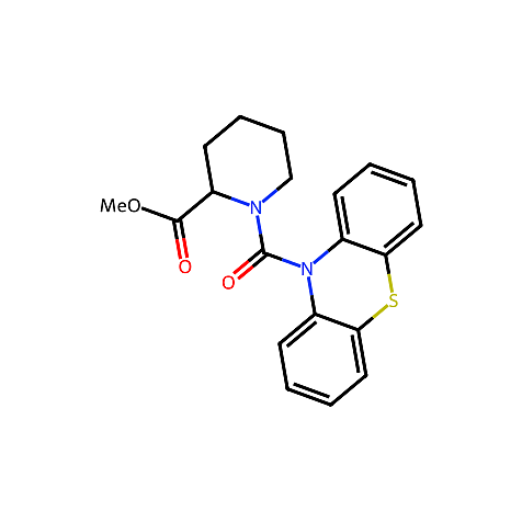 COC(=O)C1CCCCN1C(=O)N1c2ccccc2Sc2ccccc21